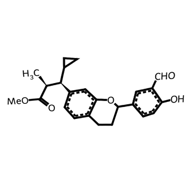 COC(=O)[C@@H](C)[C@H](c1ccc2c(c1)OC(c1ccc(O)c(C=O)c1)CC2)C1CC1